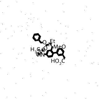 CCN(Cc1cc(NS(C)(=O)=O)ccc1-c1cc(CC(=O)O)ccc1OC)C(=O)OCc1ccccc1